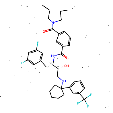 CCCN(CCC)C(=O)c1cccc(C(=O)N[C@@H](Cc2cc(F)cc(F)c2)[C@H](O)CNC2(c3cccc(C(F)(F)F)c3)CCCCC2)c1